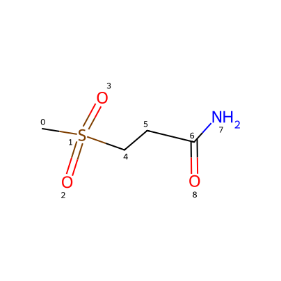 CS(=O)(=O)CCC(N)=O